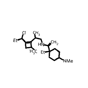 C=C(NCC(C)C1=C(C(Cl)CC)CC1C)C1(CC)CCC(NC)CC1